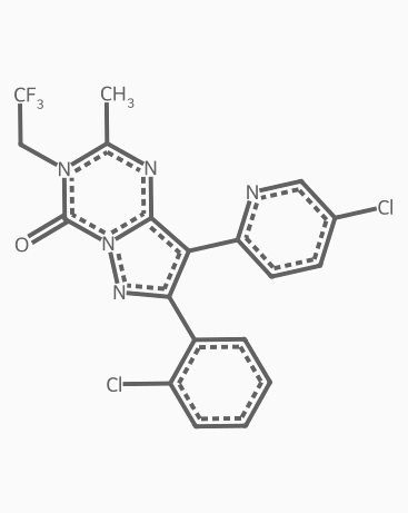 Cc1nc2c(-c3ccc(Cl)cn3)c(-c3ccccc3Cl)nn2c(=O)n1CC(F)(F)F